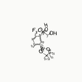 Cc1ccc([C@@](O)(CO)C(F)(F)F)cc1B1OC(C)(C)C(C)(C)O1